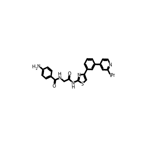 CC(C)c1cc(-c2cccc(-c3csc(NC(=O)CNC(=O)c4ccc(N)cc4)n3)c2)ccn1